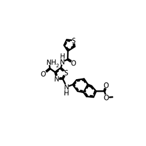 COC(=O)c1ccc2cc(Nc3nc(C(N)=O)c(NC(=O)c4ccsc4)s3)ccc2c1